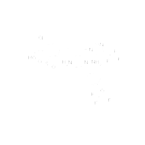 Cc1nc(C(F)(F)F)cn1-c1ccc(-c2cc(Cl)c(CO)c(S(C)(=O)=O)c2)cc1N(N)/C(=C\N)c1ccc(OC(F)(F)F)cc1